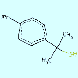 CC(C)c1ccc(C(C)(C)S)cc1